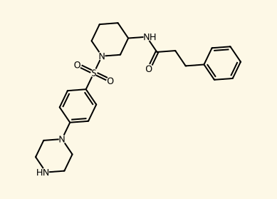 O=C(CCc1ccccc1)NC1CCCN(S(=O)(=O)c2ccc(N3CCNCC3)cc2)C1